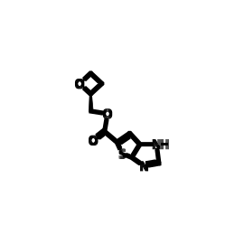 O=C(OC[C@@H]1CCO1)C1=CC2NC=NC2S1